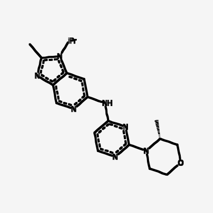 Cc1nc2cnc(Nc3ccnc(N4CCOC[C@H]4C)n3)cc2n1C(C)C